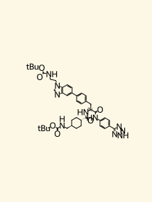 CC(C)(C)OC(=O)NCCn1cnc2cc(-c3ccc(C[C@H](NC(=O)[C@H]4CC[C@H](CNC(=O)OC(C)(C)C)CC4)C(=O)Nc4ccc(-c5nn[nH]n5)cc4)cc3)ccc21